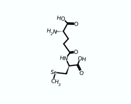 C[Se]C[C@@H](NC(=O)CC[C@H](N)C(=O)O)C(=O)O